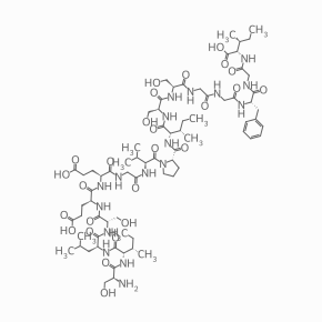 CC[C@H](C)[C@H](NC(=O)CNC(=O)[C@H](Cc1ccccc1)NC(=O)CNC(=O)CNC(=O)[C@H](CO)NC(=O)[C@H](CO)NC(=O)[C@@H](NC(=O)[C@@H]1CCCN1C(=O)[C@@H](NC(=O)CNC(=O)[C@H](CCC(=O)O)NC(=O)[C@H](CCC(=O)O)NC(=O)[C@H](CO)NC(=O)[C@H](CC(C)C)NC(=O)[C@@H](NC(=O)[C@@H](N)CO)[C@@H](C)CC)C(C)C)[C@@H](C)CC)C(=O)O